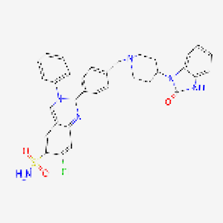 NS(=O)(=O)c1cc2c(cc1Cl)=NC(c1ccc(CN3CCC(n4c(=O)[nH]c5ccccc54)CC3)cc1)N(c1ccccc1)C=2